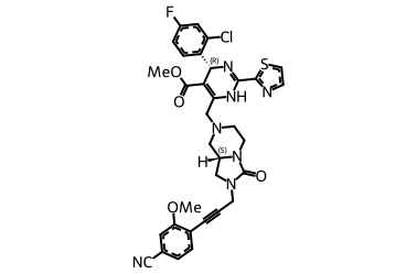 COC(=O)C1=C(CN2CCN3C(=O)N(CC#Cc4ccc(C#N)cc4OC)C[C@@H]3C2)NC(c2nccs2)=N[C@H]1c1ccc(F)cc1Cl